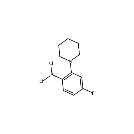 Fc1ccc(P(Cl)Cl)c(N2CCCCC2)c1